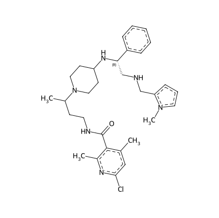 Cc1cc(Cl)nc(C)c1C(=O)NCCC(C)N1CCC(N[C@@H](CNCc2cccn2C)c2ccccc2)CC1